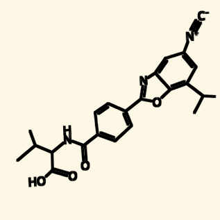 [C-]#[N+]c1cc(C(C)C)c2oc(-c3ccc(C(=O)NC(C(=O)O)C(C)C)cc3)nc2c1